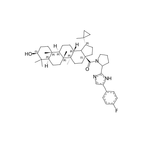 CC1([C@@H]2CC[C@]3(C(=O)N4CCCC4c4ncc(-c5ccc(F)cc5)[nH]4)CC[C@]4(C)[C@H](CC[C@@H]5[C@@]6(C)CC[C@H](O)C(C)(C)[C@@H]6CC[C@]54C)C23)CC1